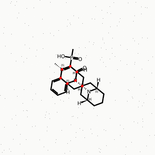 C[C@@H]1C[C@@H]2C[C@H](C1)C[C@@H](N1[C@@H]3CCC[C@H]1C[C@@H](n1c(=O)c(P(C)(=O)O)nc4ccccc41)C3)C2